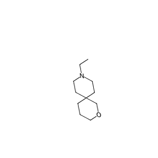 CCN1CCC2(CCCOC2)CC1